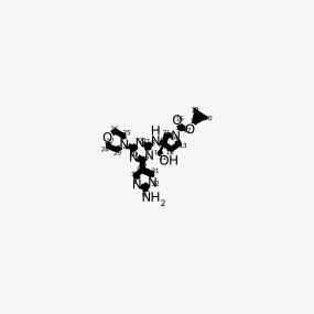 Nc1ncc(-c2nc(N[C@@]3(CO)CCN(C(=O)OC4CC4)C3)nc(N3CCOCC3)n2)cn1